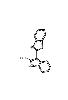 O=C(O)c1[nH]c2ccccc2c1-c1cc2ccccc2[nH]1